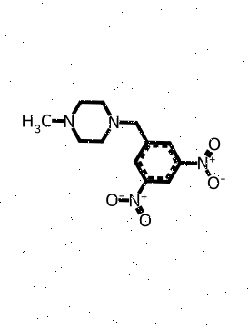 CN1CCN(Cc2cc([N+](=O)[O-])cc([N+](=O)[O-])c2)CC1